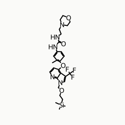 Cc1cc(NC(=O)NCCN2CCOCC2)ccc1Oc1ccnc2c1c(C(F)(F)F)cn2COCC[Si](C)(C)C